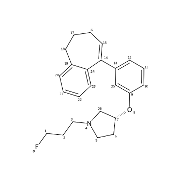 FCCCN1CC[C@@H](Oc2cccc(C3=CCCCc4ccccc43)c2)C1